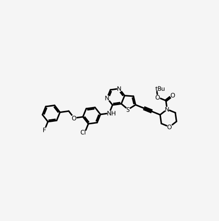 CC(C)(C)OC(=O)N1CCOCC1C#Cc1cc2ncnc(Nc3ccc(OCc4cccc(F)c4)c(Cl)c3)c2s1